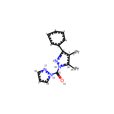 CC(C)c1c(-c2ccccc2)nn(C(=O)n2cccn2)c1C(C)C